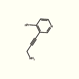 CCCc1ccncc1C#CCN